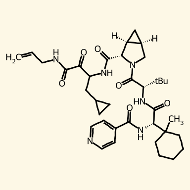 C=CCNC(=O)C(=O)C(CC1CC1)NC(=O)[C@@H]1[C@H]2C[C@H]2CN1C(=O)[C@@H](NC(=O)[C@@H](NC(=O)c1ccncc1)C1(C)CCCCC1)C(C)(C)C